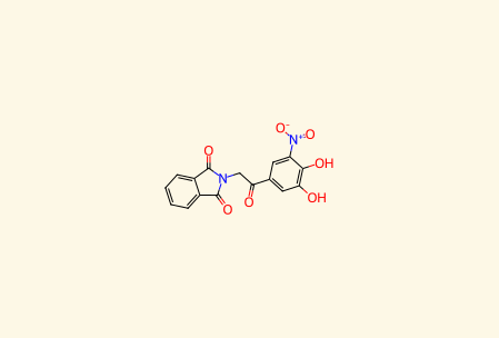 O=C(CN1C(=O)c2ccccc2C1=O)c1cc(O)c(O)c([N+](=O)[O-])c1